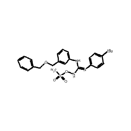 CC(C)(C)c1ccc(N=C(NOS(C)(=O)=O)Nc2cccc(COCc3ccccc3)c2)cc1